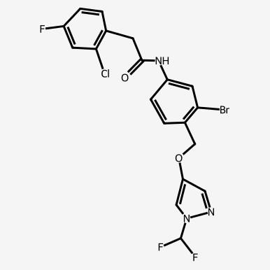 O=C(Cc1ccc(F)cc1Cl)Nc1ccc(COc2cnn(C(F)F)c2)c(Br)c1